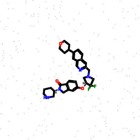 O=C1c2ccc(O[C@@H]3CN(Cc4cc5ccc(C6CCOCC6)cc5cn4)CC3(F)F)cc2CN1[C@H]1CCCNC1